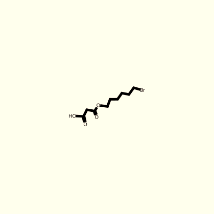 O=C(O)CC(=O)OCCCCCCBr